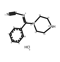 Cl.N#C/N=C(\c1ccccc1)N1CCNCC1